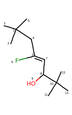 CC(C)(C)CC(F)=CC(O)C(C)(C)C